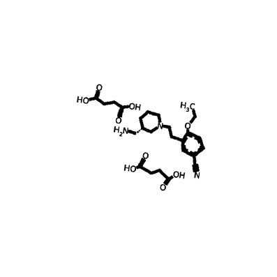 CCOc1ccc(C#N)cc1CCN1CCC[C@@H](CN)C1.O=C(O)CCC(=O)O.O=C(O)CCC(=O)O